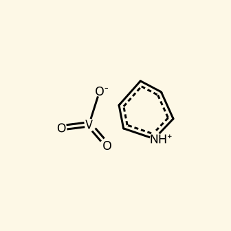 [O]=[V](=[O])[O-].c1cc[nH+]cc1